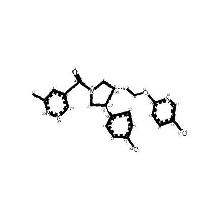 Cc1cc(C(=O)N2C[C@H](CCOc3ccc(Cl)cn3)[C@@H](c3ccc(Cl)cc3)C2)cnn1